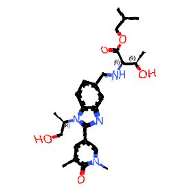 Cc1cc(-c2nc3cc(CN[C@@H](C(=O)OCC(C)C)[C@@H](C)O)ccc3n2[C@H](C)CO)cn(C)c1=O